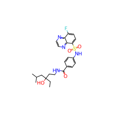 CCC(O)(CCNC(=O)c1ccc(NS(=O)(=O)c2ccc(F)c3nccnc23)cc1)CC(C)C